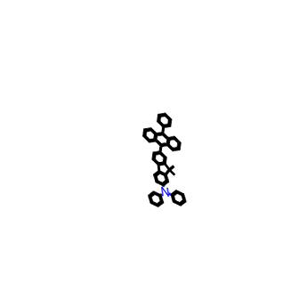 CC1(C)c2cc(-c3c4ccccc4c(-c4ccccc4)c4ccccc34)ccc2-c2ccc(N(c3ccccc3)c3ccccc3)cc21